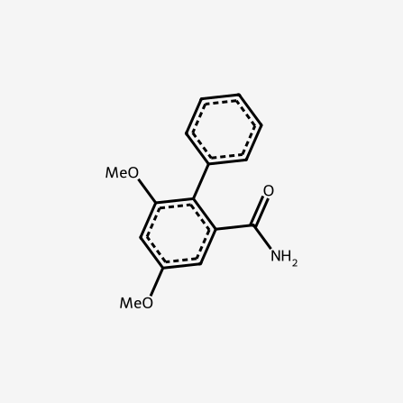 COc1cc(OC)c(-c2ccccc2)c(C(N)=O)c1